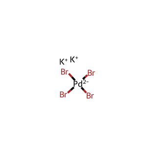 [Br][Pd-2]([Br])([Br])[Br].[K+].[K+]